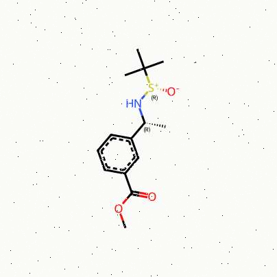 COC(=O)c1cccc([C@@H](C)N[S@@+]([O-])C(C)(C)C)c1